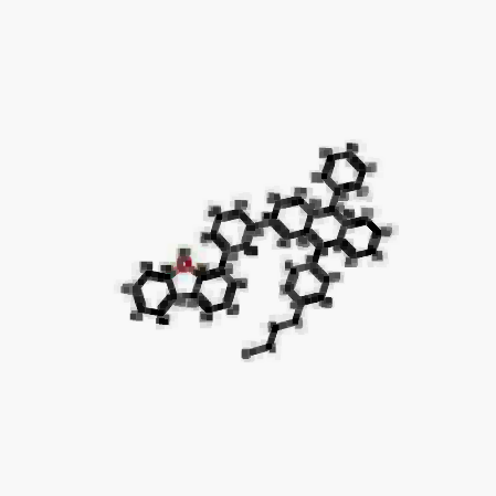 CCCCc1ccc(-c2c3ccccc3c(-c3ccccc3)c3ccc(-c4cccc(-c5cccc6c5oc5ccccc56)c4)cc23)cc1